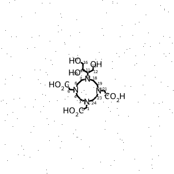 O=C(O)CN1CCN(CC(=O)O)CCN(C(CO)[C@H](O)CO)CCN(CC(=O)O)CC1